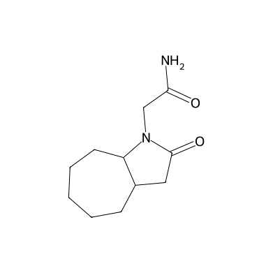 NC(=O)CN1C(=O)CC2CCCCCC21